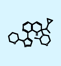 C[C@@H]1COCCN1C1(N(C)C2CC2)C=Cc2ccnc(-c3ccnn3C3CCCCO3)c2N1